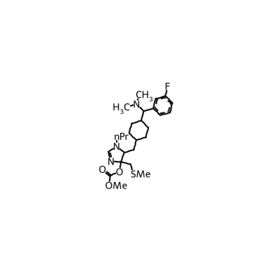 CCCN1C=NC(CSC)(OC(=O)OC)C1CC1CCC(C(c2cccc(F)c2)N(C)C)CC1